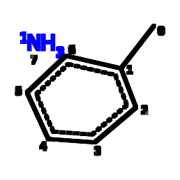 Cc1ccccc1.[1NH3]